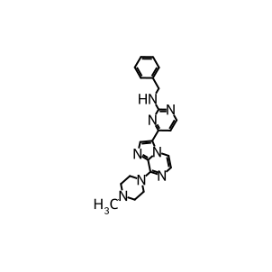 CN1CCN(c2nccn3c(-c4ccnc(NCc5ccccc5)n4)cnc23)CC1